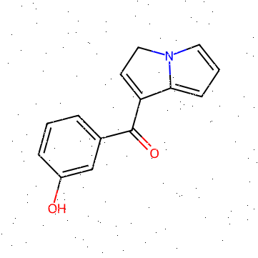 O=C(C1=CCn2cccc21)c1cccc(O)c1